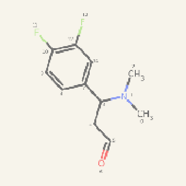 CN(C)C(CC=O)c1ccc(F)c(F)c1